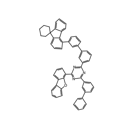 c1ccc(-c2cccc(-c3nc(-c4cccc(-c5cccc(-c6cccc7c6-c6ccccc6C76CCCCC6)c5)c4)nc(-c4cccc5c4oc4ccccc45)n3)c2)cc1